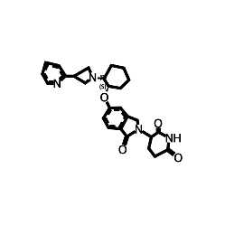 O=C1CCC(N2Cc3cc(O[C@H]4CCCC[C@H]4N4CC(c5ccccn5)C4)ccc3C2=O)C(=O)N1